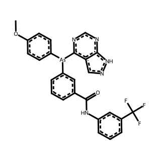 COc1ccc([As](c2cccc(C(=O)Nc3cccc(C(F)(F)F)c3)c2)c2ncnc3[nH]ncc23)cc1